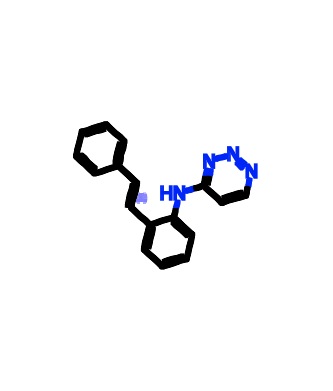 C(=C\c1ccccc1Nc1ccnnn1)/c1ccccc1